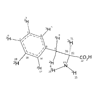 [2H]c1c([2H])c([2H])c(C([2H])([2H])[C@@]([2H])(C(=O)O)N([2H])[2H])c([2H])c1[2H]